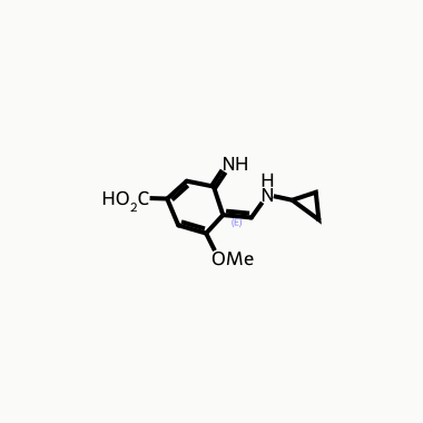 COC1=CC(C(=O)O)=CC(=N)/C1=C\NC1CC1